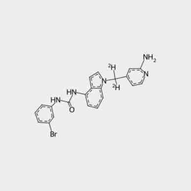 [2H]C([2H])(c1ccnc(N)c1)n1ccc2c(NC(=O)Nc3cccc(Br)c3)cccc21